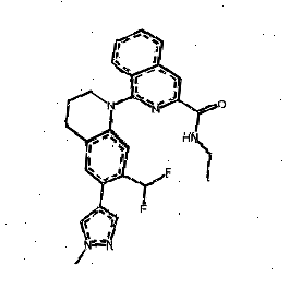 CCNC(=O)c1cc2ccccc2c(N2CCCc3cc(-c4cnn(C)c4)c(C(F)F)cc32)n1